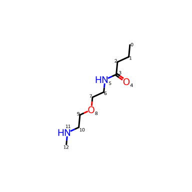 CCCC(=O)NCCOCCNC